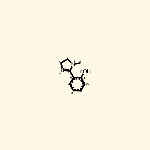 CN1CCN=C1c1ccccc1O